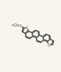 CCCCCCCCCCc1cc2ccc3c4ccc5c(ccc6ccsc65)c4ccc3c2s1